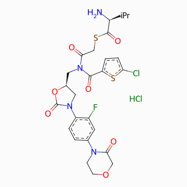 CC(C)[C@H](N)C(=O)SCC(=O)N(C[C@H]1CN(c2ccc(N3CCOCC3=O)cc2F)C(=O)O1)C(=O)c1ccc(Cl)s1.Cl